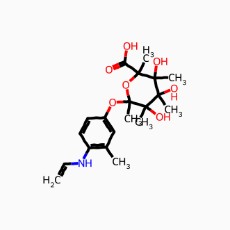 C=CNc1ccc(OC2(C)OC(C)(C(=O)O)C(C)(O)C(C)(O)C2(C)O)cc1C